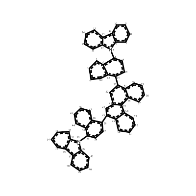 c1ccc2c(-n3c4ccccc4c4ccccc43)ccc(-c3cc4cc(-c5ccc(-n6c7ccccc7c7ccccc76)c6ccccc56)c5ccccc5c4c4ccccc34)c2c1